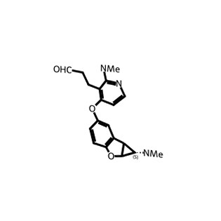 CNc1nccc(Oc2ccc3c(c2)C2C(O3)[C@H]2NC)c1CCC=O